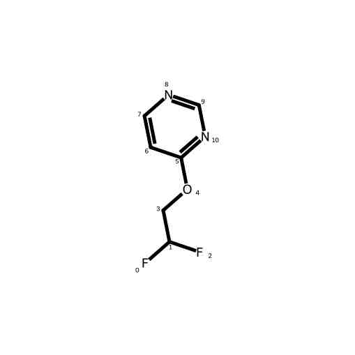 FC(F)COc1ccncn1